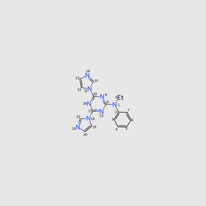 CCN(c1ccccc1)c1nc(-n2ccnc2)nc(-n2ccnc2)n1